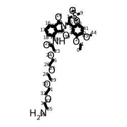 CCOc1cc(C(CS(C)(=O)=O)N2C(=O)c3cccc(NC(=O)COCCOCCOCCOCCN)c3C2=O)ccc1OC